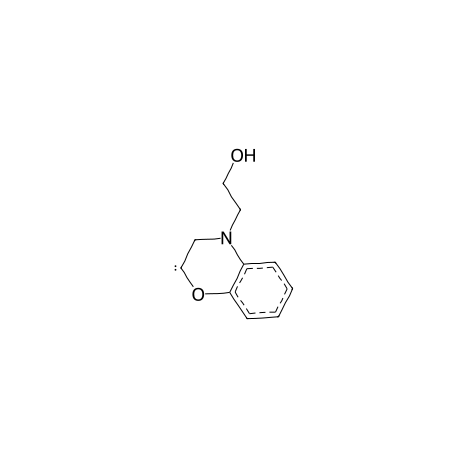 OCCN1C[C]Oc2ccccc21